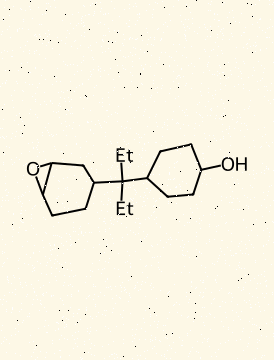 CCC(CC)(C1CCC(O)CC1)C1CCC2OC2C1